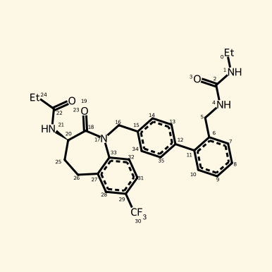 CCNC(=O)NCc1ccccc1-c1ccc(CN2C(=O)[C@H](NC(=O)CC)CCc3cc(C(F)(F)F)ccc32)cc1